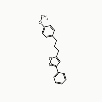 COc1ccc(CCCc2cc(-c3ccccc3)no2)cc1